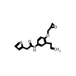 C=CCc1cc(NC(=O)Cc2cccs2)ccc1OCC1CO1